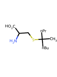 CCCCC(C)(CCC)SCC(N)C(=O)O